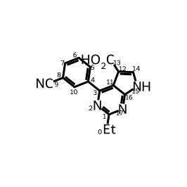 CCc1nc(-c2cccc(C#N)c2)c2c(C(=O)O)c[nH]c2n1